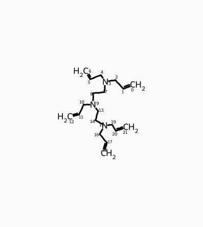 C=CCN(CC=C)CCN(CC=C)CCN(CC=C)CC=C